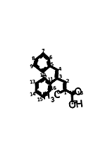 CC(=CC(=Cc1ccccc1)c1ccccc1)C(=O)O